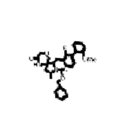 COc1ccccc1-c1cccc(CC2N(C(=O)OCc3ccccc3)C(C)CC23COCC(=O)N3)c1F